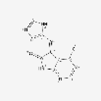 O=C1Nc2ncnc(Cl)c2C1=Cc1cnc[nH]1